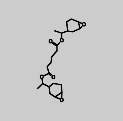 CC(OC(=O)CCCCC(=O)OC(C)C1CCC2OC2C1)C1CCC2OC2C1